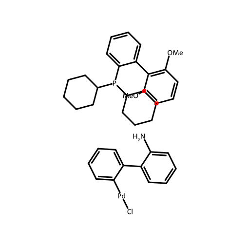 COc1cccc(OC)c1-c1ccccc1P(C1CCCCC1)C1CCCCC1.Nc1ccccc1-c1cccc[c]1[Pd][Cl]